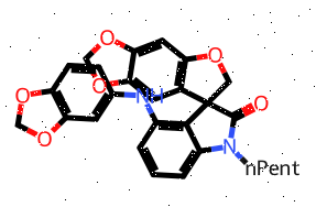 CCCCCN1C(=O)C2(COc3cc4c(cc32)OCO4)c2c(Nc3ccc4c(c3)OCO4)cccc21